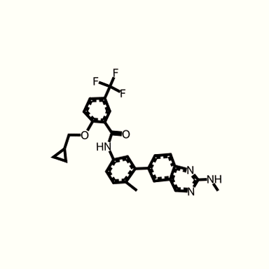 CNc1ncc2cc(-c3cc(NC(=O)c4cc(C(F)(F)F)ccc4OCC4CC4)ccc3C)ccc2n1